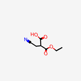 CCOC(=O)C(CC#N)C(=O)O